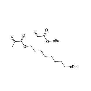 C=C(C)C(=O)OCCCCCCCCCCCCCCCCCC.C=CC(=O)OCCCC